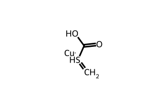 C=[SH]C(=O)O.[Cu]